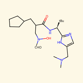 CN(C)Cc1cnc([C@@H](NC(=O)C(CC2CCCC2)CN(O)C=O)C(C)(C)C)[nH]1